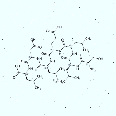 CC(C)C[C@H](NC(=O)[C@H](CC(=O)O)NC(=O)[C@H](CC(C)C)NC(=O)[C@H](CCC(=O)O)NC(=O)[C@H](CC(C)C)NC(=O)[C@H](CC(C)C)NC(=O)[C@@H](N)CO)C(=O)O